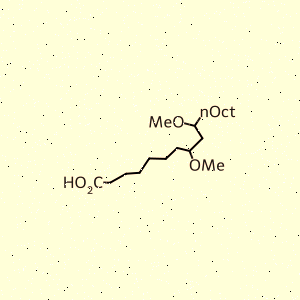 CCCCCCCCC(CC(CCCCCCC(=O)O)OC)OC